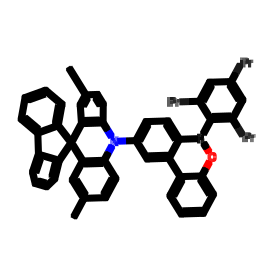 Cc1ccc2c(c1)C1(c3ccccc3-c3ccccc31)c1cc(C)ccc1N2c1ccc2c(c1)-c1ccccc1OB2c1c(C(C)C)cc(C(C)C)cc1C(C)C